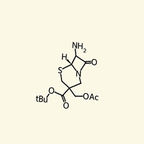 CC(=O)OCC1(C(=O)OC(C)(C)C)CS[C@@H]2C(N)C(=O)N2C1